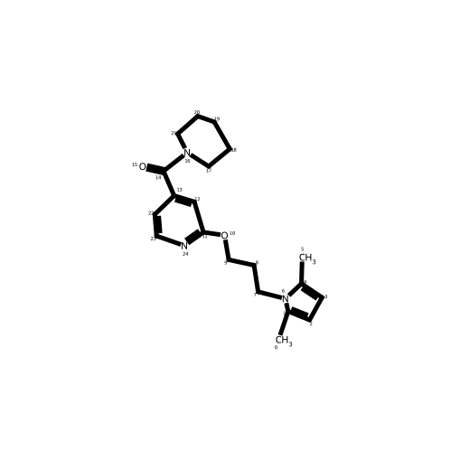 Cc1ccc(C)n1CCCOc1cc(C(=O)N2CCCCC2)ccn1